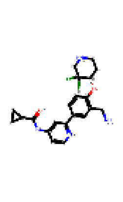 NCc1cc(-c2cc(NC(=O)C3CC3)ccn2)ccc1O[C@H]1CCNCC1(F)F